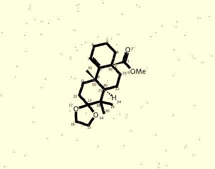 COC(=O)[C@]12CCCC=C1[C@@]1(C)CCC3(OCCO3)C(C)(C)[C@@H]1CC2